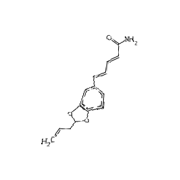 C=CCC1Oc2ccc(C=CC=CC(N)=O)cc2O1